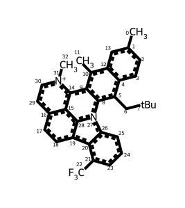 Cc1ccc2c(CC(C)(C)C)c3c(c(C)c2c1)c1c2c(ccc4c5c(C(F)(F)F)cccc5n3c42)cc[n+]1C